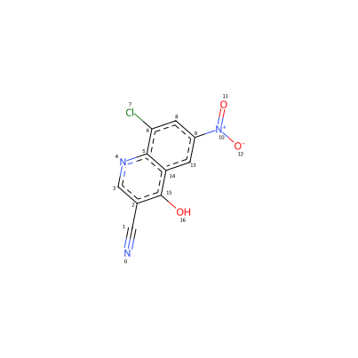 N#Cc1cnc2c(Cl)cc([N+](=O)[O-])cc2c1O